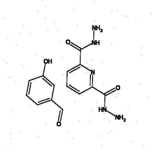 NNC(=O)c1cccc(C(=O)NN)n1.O=Cc1cccc(O)c1